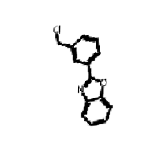 ClCc1cccc(-c2nc3ccccc3o2)c1